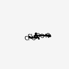 CCc1cc(OCC=C(Cl)Cl)cc(CC)c1OCCOCC/C=N/OC(C)(C)C